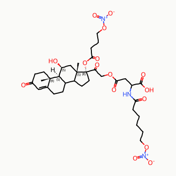 C[C@]12CCC(=O)C=C1CCC1C3CC[C@](OC(=O)CCCO[N+](=O)[O-])(C(=O)COC(=O)CC(NC(=O)CCCCCO[N+](=O)[O-])C(=O)O)[C@@]3(C)C[C@H](O)[C@@H]12